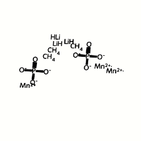 C.C.C.O=P([O-])([O-])[O-].O=P([O-])([O-])[O-].[LiH].[LiH].[LiH].[Mn+2].[Mn+2].[Mn+2]